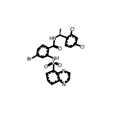 C[C@H](NC(=O)c1ccc(Br)cc1NS(=O)(=O)c1cccc2nccnc12)c1ccc(Cl)cc1Cl